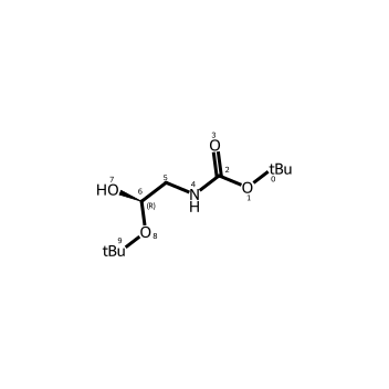 CC(C)(C)OC(=O)NC[C@H](O)OC(C)(C)C